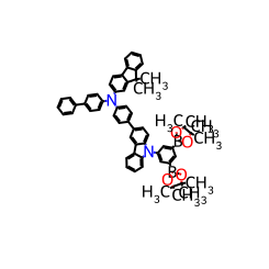 CC1(C)c2ccccc2-c2ccc(N(c3ccc(-c4ccccc4)cc3)c3ccc(-c4ccc5c(c4)c4ccccc4n5-c4cc(B5OC(C)(C)C(C)(C)O5)cc(B5OC(C)(C)C(C)(C)O5)c4)cc3)cc21